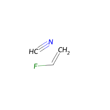 C#N.C=CF